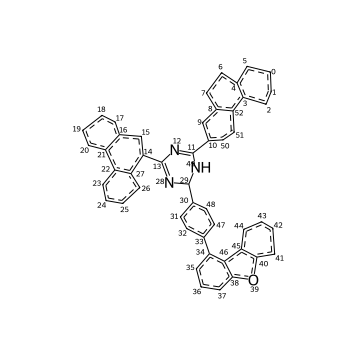 c1ccc2c(c1)ccc1cc(C3=NC(c4cc5ccccc5c5ccccc45)=NC(c4ccc(-c5cccc6oc7ccccc7c56)cc4)N3)ccc12